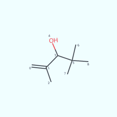 C=C(C)C(O)C(C)(C)C